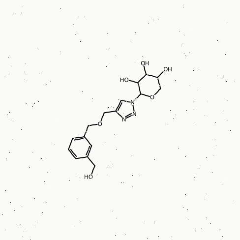 OCc1cccc(COCc2cn(C3OCC(O)C(O)C3O)nn2)c1